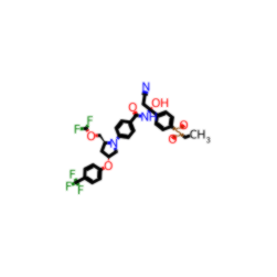 CCS(=O)(=O)c1ccc([C@@](O)(CC#N)NC(=O)c2ccc(N3C[C@H](Oc4ccc(C(F)(F)F)cc4)C[C@H]3COC(F)F)cc2)cc1